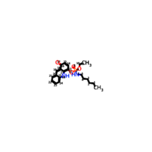 CCCCCCNP(=O)(OCC)Oc1ccc(=O)c2cc3ccccc3[nH]c1-2